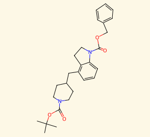 CC(C)(C)OC(=O)N1CCC(Cc2cccc3c2CCN3C(=O)OCc2ccccc2)CC1